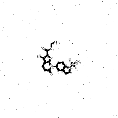 CCOC(=O)c1sc2c(ccc(=O)n2-c2ccc3c(ccn3S(C)(=O)=O)c2)c1Br